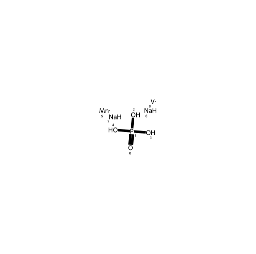 O=P(O)(O)O.[Mn].[NaH].[NaH].[V]